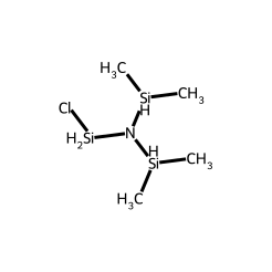 C[SiH](C)N([SiH2]Cl)[SiH](C)C